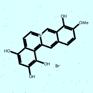 COc1ccc2cc3c4c(O)c(O)cc(O)c4cc[n+]3cc2c1O.[Br-]